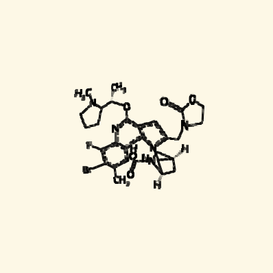 Cc1cc2c(nc(O[C@@H](C)C3CCCN3C)c3cc(CN4CCOC4=O)n([C@H]4[C@@H]5C[C@H]4N(C(=O)O)C5)c32)c(F)c1Br